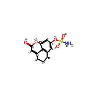 NS(=O)(=O)Oc1cc2c3c(cc(=O)oc3c1)CCC2